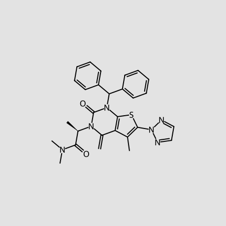 C=C1c2c(sc(-n3nccn3)c2C)N(C(c2ccccc2)c2ccccc2)C(=O)N1[C@H](C)C(=O)N(C)C